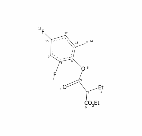 CCOC(=O)C(CC)C(=O)Oc1c(F)cc(F)cc1F